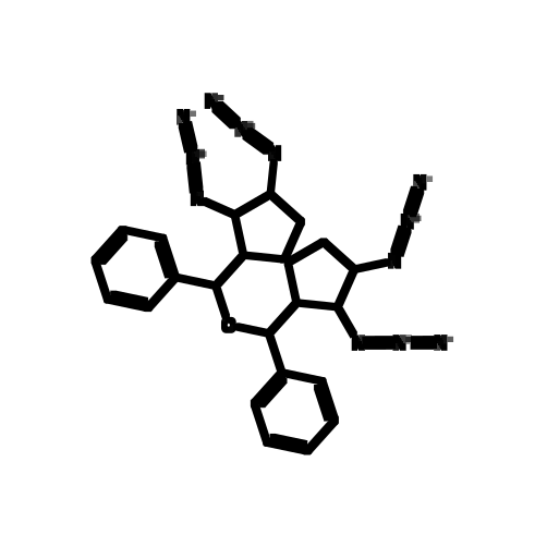 [N-]=[N+]=NC1CCC(C(OC(c2ccccc2)C2CCC(N=[N+]=[N-])C2N=[N+]=[N-])c2ccccc2)C1N=[N+]=[N-]